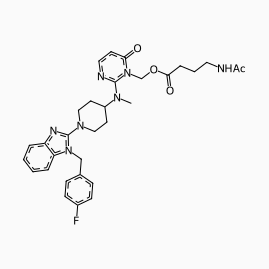 CC(=O)NCCCC(=O)OCn1c(N(C)C2CCN(c3nc4ccccc4n3Cc3ccc(F)cc3)CC2)nccc1=O